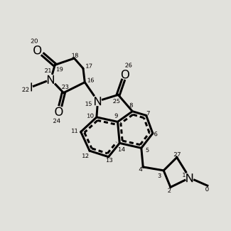 CN1CC(Cc2ccc3c4c(cccc24)N(C2CCC(=O)N(I)C2=O)C3=O)C1